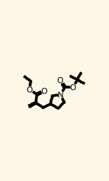 C=C(CC1CCN(C(=O)OC(C)(C)C)C1)C(=O)OCC